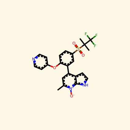 Cc1cc(-c2cc(S(=O)(=O)C(C)(C)C(F)(F)F)ccc2Oc2ccncc2)c2cc[nH]c2[n+]1[O-]